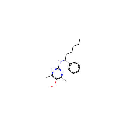 CCCCCC(Nc1nc(C)c(OC)c(C)n1)c1ccccc1